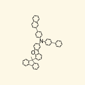 CC1(c2cccc3c2oc2ccc(N(c4ccc(-c5ccccc5)cc4)c4ccc(-c5ccc6ccccc6c5)cc4)cc23)c2ccccc2-c2ccccc21